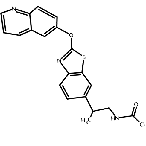 CC(=O)NCC(C)c1ccc2nc(Oc3ccc4ncccc4c3)sc2c1